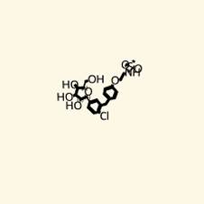 CS(=O)(=O)NCCOc1ccc(Cc2cc([C@@H]3O[C@H](CO)C(O)C(O)[C@H]3O)ccc2Cl)cc1